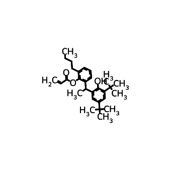 C=CC(=O)Oc1c(CCCC)cccc1C(C)c1cc(C(C)(C)C)cc(C(C)(C)C)c1O